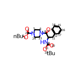 CCCCOC(=O)N1CCN(C(=O)C(Cc2ccccc2)NC(=O)OC(C)(C)C)CC1